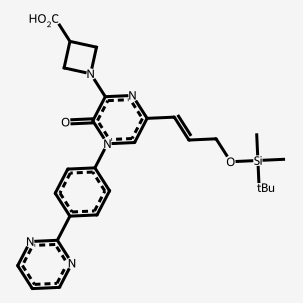 CC(C)(C)[Si](C)(C)OCC=Cc1cn(-c2ccc(-c3ncccn3)cc2)c(=O)c(N2CC(C(=O)O)C2)n1